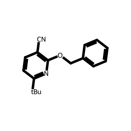 CC(C)(C)c1ccc(C#N)c(OCc2ccccc2)n1